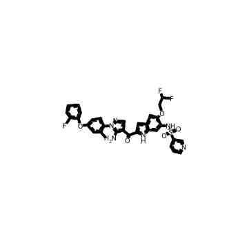 Cc1cc(Oc2ccccc2F)ccc1-n1ncc(C(=O)c2cc3cc(OCC(F)F)c(NS(=O)(=O)c4cccnc4)cc3[nH]2)c1N